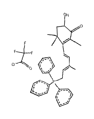 CC(C=CC1=C(C)C(=O)C(O)CC1(C)C)=CC[P+](c1ccccc1)(c1ccccc1)c1ccccc1.O=C([O-])C(F)(F)F